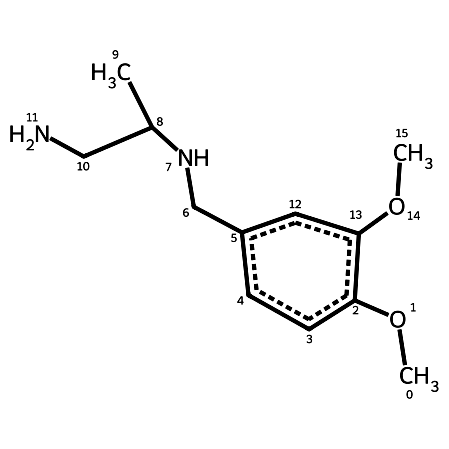 COc1ccc(CNC(C)CN)cc1OC